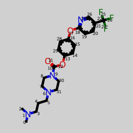 CN(C)CCCN1CCN(C(=O)Oc2ccc(Oc3ccc(C(F)(F)F)cn3)cc2)CC1